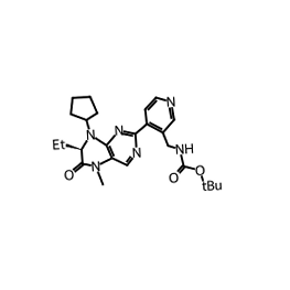 CC[C@@H]1C(=O)N(C)c2cnc(-c3ccncc3CNC(=O)OC(C)(C)C)nc2N1C1CCCC1